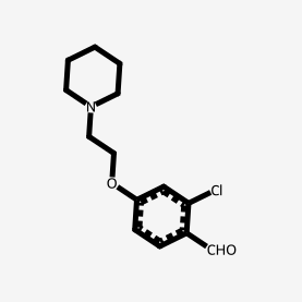 O=Cc1ccc(OCCN2CCCCC2)cc1Cl